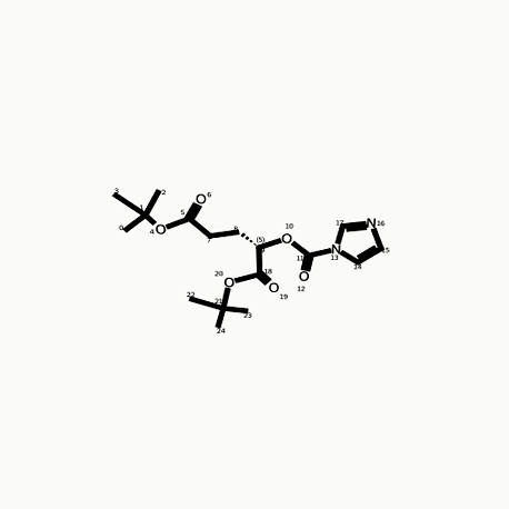 CC(C)(C)OC(=O)CC[C@H](OC(=O)n1ccnc1)C(=O)OC(C)(C)C